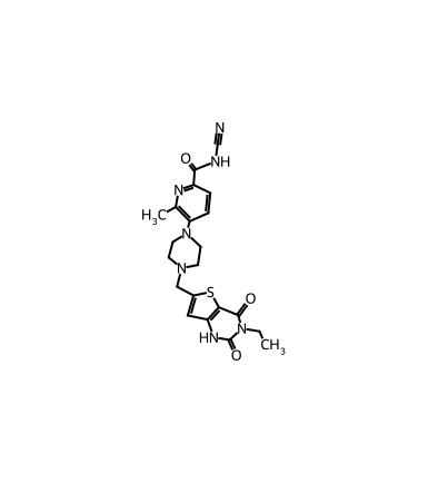 CCn1c(=O)[nH]c2cc(CN3CCN(c4ccc(C(=O)NC#N)nc4C)CC3)sc2c1=O